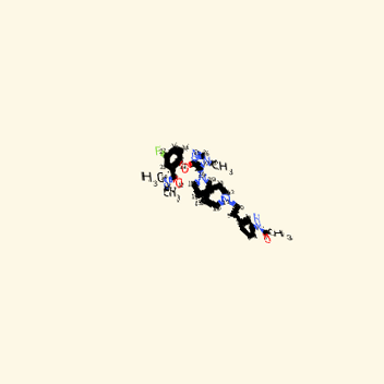 CC(=O)Nc1cccc(CCN2CCC3(CC2)CCN(c2c(Oc4ccc(F)cc4C(=O)N(C)C)ncn2C)C3)c1